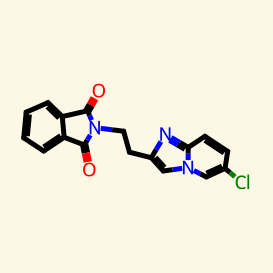 O=C1c2ccccc2C(=O)N1CCc1cn2cc(Cl)ccc2n1